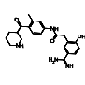 Cc1cc(NC(=O)Cc2cc(C(=N)N)ccc2O)ccc1C(=O)C1CCCNC1